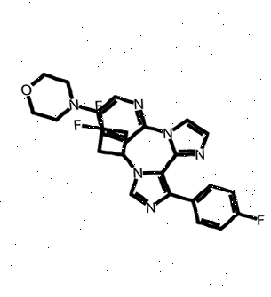 Fc1ccc(-c2ncn(C3CC(F)(F)C3)c2-c2nccn2-c2ccc(N3CCOCC3)cn2)cc1